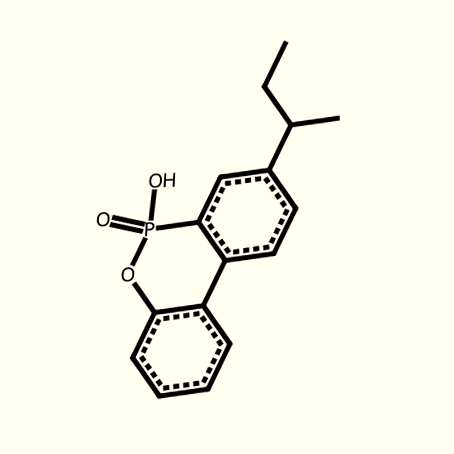 CCC(C)c1ccc2c(c1)P(=O)(O)Oc1ccccc1-2